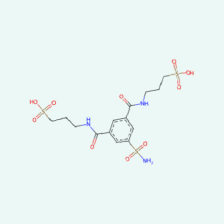 NS(=O)(=O)c1cc(C(=O)NCCCS(=O)(=O)O)cc(C(=O)NCCCS(=O)(=O)O)c1